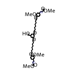 COC(=O)/C=C/c1ccc(OCCCCCCCCOc2cc(CO)cc(OCCCCCCCCOc3ccc(/C=C/C(=O)OC)cc3OC)c2)c(OC)c1